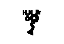 Nc1c(Br)ccn(CCC2CC2)c1=O